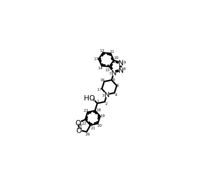 OC(CN1CCC(n2nnc3ccccc32)CC1)c1ccc2c(c1)OOC2